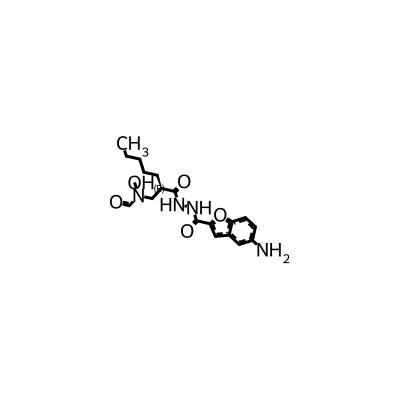 CCCCC[C@H](CN(O)C=O)C(=O)NNC(=O)c1cc2cc(N)ccc2o1